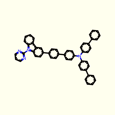 c1ccc(-c2ccc(N(c3ccc(-c4ccccc4)cc3)c3ccc(-c4ccc(-c5ccc6c(c5)c5ccccc5n6-c5ncccn5)cc4)cc3)cc2)cc1